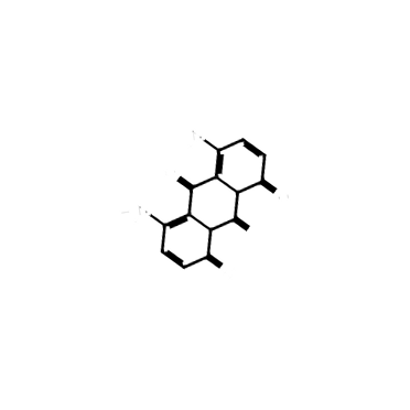 NC1=C2C(=O)C3=C(N)C=CC(=O)C3C(=O)C2C(=O)C=C1